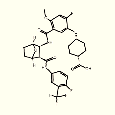 COc1cc(F)c(O[C@H]2CC[C@@H](C(=O)O)CC2)cc1C(=O)N[C@H]1[C@@H](C(=O)Nc2ccc(F)c(C(F)(F)F)c2)[C@H]2CC[C@@H]1O2